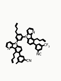 [C-]#[N+]c1cc(-c2ccc3c(c2CCC=C)c2ncccc2n3-c2cc(CCC=C)cc(-n3c4cccnc4c4c(CCC=C)c(-c5cc(C)cc(C#N)c5)ccc43)c2)cc(C(F)(F)F)c1